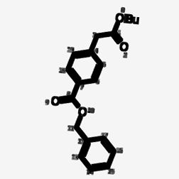 CC(C)COC(=O)Cc1ccc(C(=O)OCc2ccccc2)cc1